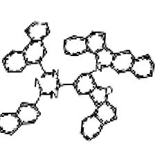 c1ccc2cc(-c3nc(-c4cc(-n5c6cc7ccccc7cc6c6ccc7ccccc7c65)c5oc6ccc7ccccc7c6c5c4)nc(-c4cc5ccccc5c5ccccc45)n3)ccc2c1